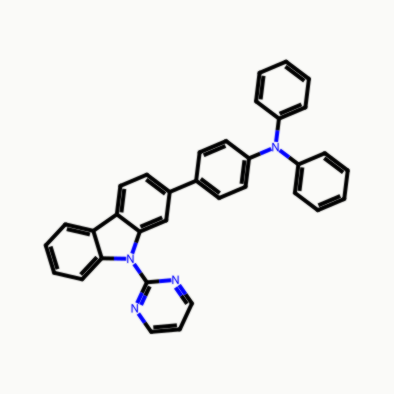 c1ccc(N(c2ccccc2)c2ccc(-c3ccc4c5ccccc5n(-c5ncccn5)c4c3)cc2)cc1